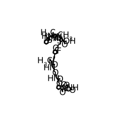 Cc1cc(N(C)c2nc(C(=O)O)c(CCCOc3ccc(C#CCN(C)CC(=O)NCCOCCNC(=O)COc4cccc5c4C(=O)N(C4CCC(=O)NC4=O)C5=O)cc3F)s2)nnc1Nc1nc2ccccc2s1